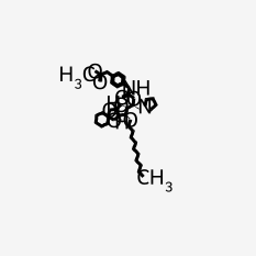 CCCCCCCCCCO[C@@H]1[C@H]2OC3(CCCCC3)O[C@H]2O[C@@H]1[C@@H](CN1CCCC1)OC(=O)Nc1ccc(CC(=O)OC)cc1